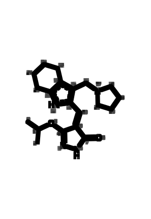 CC(C)OC1=NNC(=O)/C1=C/c1[nH]c2c(c1CN1CCCC1)CCCC2